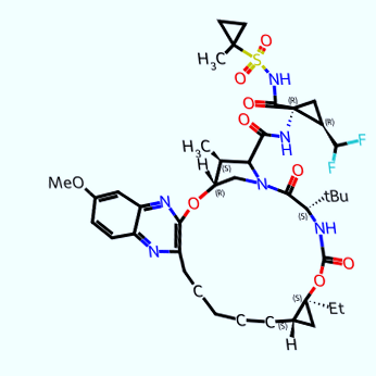 CC[C@]12C[C@@H]1CCCCCc1nc3ccc(OC)cc3nc1O[C@H]1CN(C(=O)[C@H](C(C)(C)C)NC(=O)O2)C(C(=O)N[C@]2(C(=O)NS(=O)(=O)C3(C)CC3)C[C@H]2C(F)F)[C@@H]1C